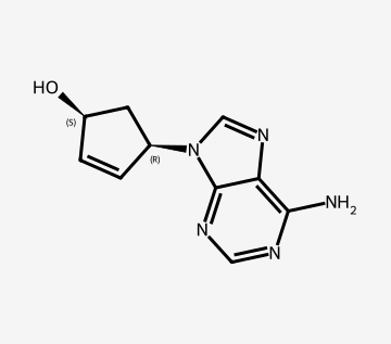 Nc1ncnc2c1ncn2[C@H]1C=C[C@@H](O)C1